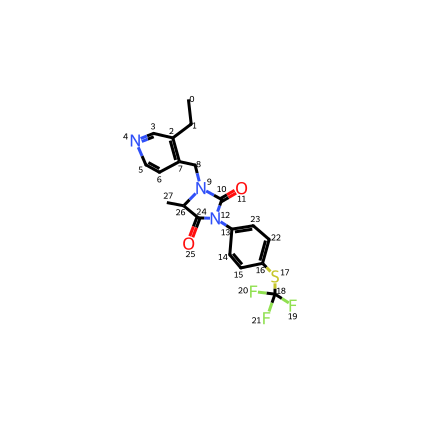 CCc1cnccc1CN1C(=O)N(c2ccc(SC(F)(F)F)cc2)C(=O)C1C